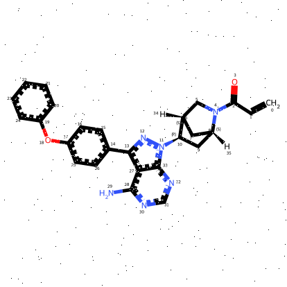 C=CC(=O)N1C[C@@H]2C[C@H]1C[C@H]2n1nc(-c2ccc(Oc3ccccc3)cc2)c2c(N)ncnc21